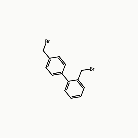 BrCc1ccc(-c2ccccc2CBr)cc1